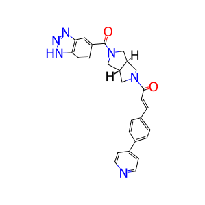 O=C(C=Cc1ccc(-c2ccncc2)cc1)N1C[C@@H]2CN(C(=O)c3ccc4[nH]nnc4c3)C[C@H]2C1